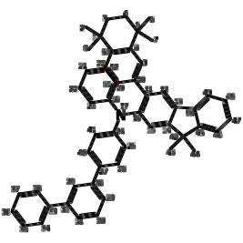 CC1(C)CCC(C)(C)c2cc(-c3cc4c(cc3N(c3ccccc3)c3ccc(-c5cccc(-c6ccccc6)c5)cc3)C(C)(C)c3ccccc3-4)ccc21